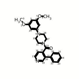 COc1cc(OC)cc(N2CCN(C(=O)c3ccncc3-c3ccccc3)CC2)c1